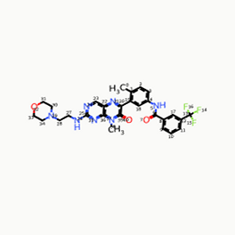 Cc1ccc(NC(=O)c2cccc(C(F)(F)F)c2)cc1-c1nc2cnc(NCCN3CCOCC3)nc2n(C)c1=O